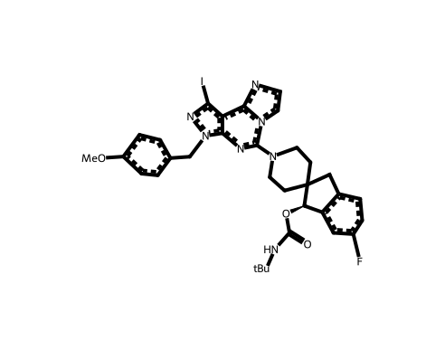 COc1ccc(Cn2nc(I)c3c2nc(N2CCC4(CC2)Cc2ccc(F)cc2[C@H]4OC(=O)NC(C)(C)C)n2ccnc32)cc1